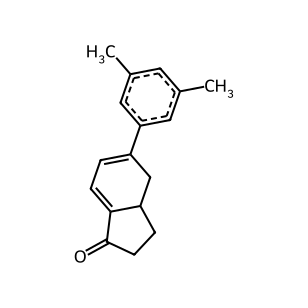 Cc1cc(C)cc(C2=CC=C3C(=O)CCC3C2)c1